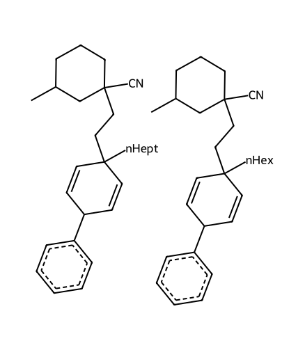 CCCCCCC1(CCC2(C#N)CCCC(C)C2)C=CC(c2ccccc2)C=C1.CCCCCCCC1(CCC2(C#N)CCCC(C)C2)C=CC(c2ccccc2)C=C1